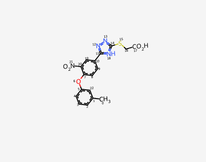 Cc1cccc(Oc2ccc(-c3nnc(SCC(=O)O)[nH]3)cc2[N+](=O)[O-])c1